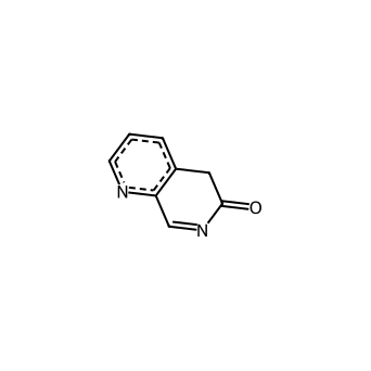 O=C1Cc2cccnc2C=N1